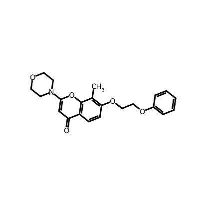 Cc1c(OCCOc2ccccc2)ccc2c(=O)cc(N3CCOCC3)oc12